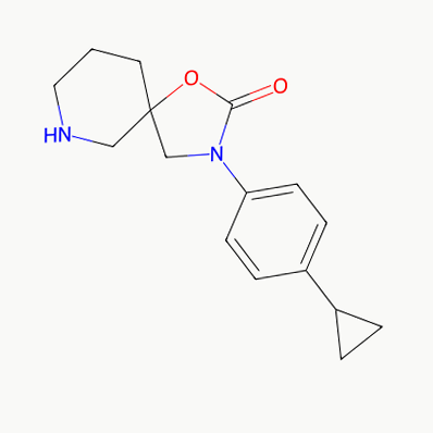 O=C1OC2(CCCNC2)CN1c1ccc(C2CC2)cc1